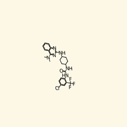 CN(C)c1nc(NC2CCC(NC(=O)Nc3ccc(Cl)cc3C(F)(F)F)CC2)nc2ccccc12